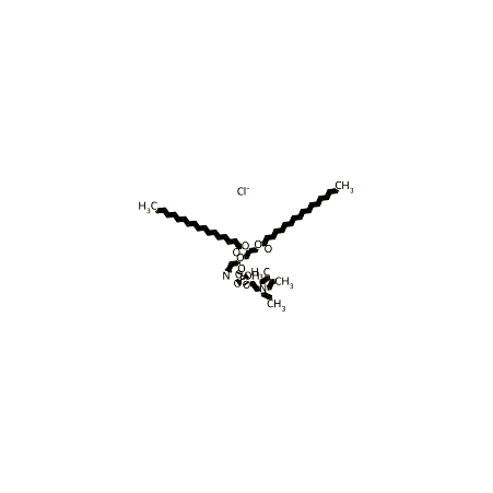 CCCCCCCCCCCCCCCCCC(=O)OCC(COC(CC#N)OOP(=O)(O)OCC[N+](CCC)(CCC)CCC)OC(=O)CCCCCCCCCCCCCCCCC.[Cl-]